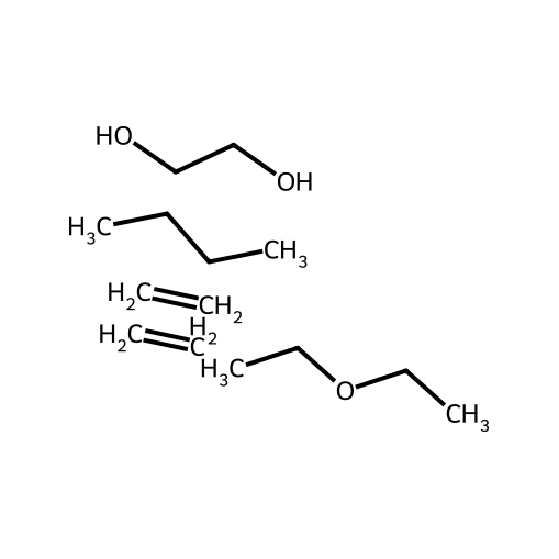 C=C.C=C.CCCC.CCOCC.OCCO